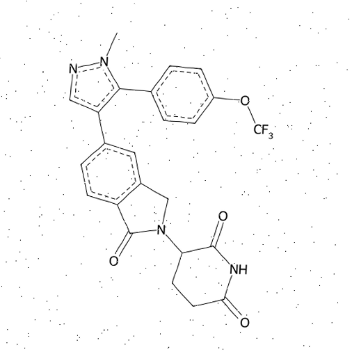 Cn1ncc(-c2ccc3c(c2)CN(C2CCC(=O)NC2=O)C3=O)c1-c1ccc(OC(F)(F)F)cc1